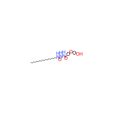 CCCCCCCCCCCCCCCCCCNC(=O)NCNC(=O)c1ccc(Oc2ccc(O)cc2)cc1